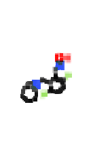 O/N=C/c1c(F)ccc(F)c1CN1CC2CCCC1C2